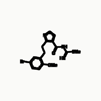 COc1ccc(Br)cc1CCc1sccc1C(=O)NC(=N)SC